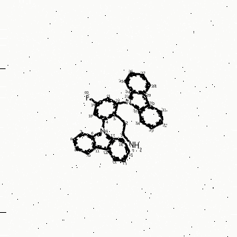 NCCc1c(-n2c3ccccc3c3ccccc32)cc(F)cc1-n1c2ccccc2c2ccccc21